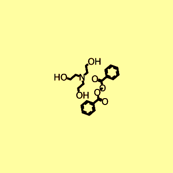 O=C(OOC(=O)c1ccccc1)c1ccccc1.OCCN(CCO)CCO